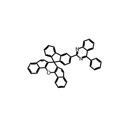 c1ccc(-c2nc(-c3ccc4c(c3)-c3ccccc3C43c4ccc5ccccc5c4Oc4c3ccc3ccccc43)nc3ccccc23)cc1